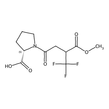 COC(=O)C(CC(=O)N1CCC[C@H]1C(=O)O)C(F)(F)F